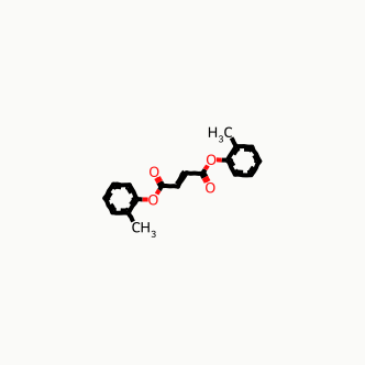 Cc1ccccc1OC(=O)C=CC(=O)Oc1ccccc1C